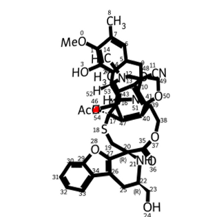 COC1=C(O)C2C(C=C1C)CC1(C#N)CN(C)[C@@H]2[C@@H]2[C@@H]3SC[C@]4(N[C@@H](CO)Cc5c4oc4ccccc54)C(=O)OCC(c4c5c(c(C)c(OC(C)=O)c43)OCO5)N21